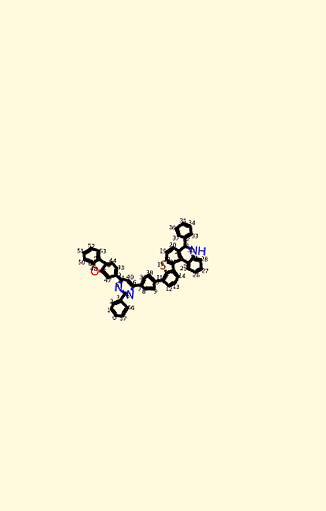 c1ccc(-c2nc(-c3ccc(-c4cccc5c4sc4ccc6c(c45)-c4ccccc4NC6c4ccccc4)cc3)cc(-c3ccc4c(c3)oc3ccccc34)n2)cc1